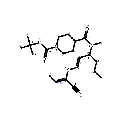 C/C=C(/C#N)S/C=C/[C@H](CCC)N(C)C(=O)C1CCN(C(=O)OC(C)(C)C)CC1